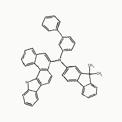 CC1(C)c2ccccc2-c2ccc(N(c3cccc(-c4ccccc4)c3)c3cc4ccccc4c4c3ccc3c5ccccc5[se]c34)cc21